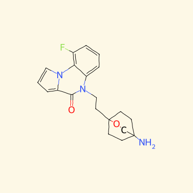 NC12CCC(CCn3c(=O)c4cccn4c4c(F)cccc43)(CC1)OC2